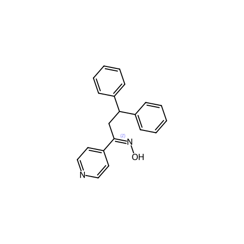 O/N=C(/CC(c1ccccc1)c1ccccc1)c1ccncc1